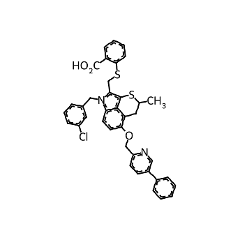 CC1Cc2c(OCc3ccc(-c4ccccc4)cn3)ccc3c2c(c(CSc2ccccc2C(=O)O)n3Cc2cccc(Cl)c2)S1